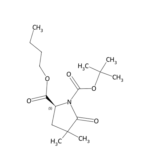 CCCCOC(=O)[C@@H]1CC(C)(C)C(=O)N1C(=O)OC(C)(C)C